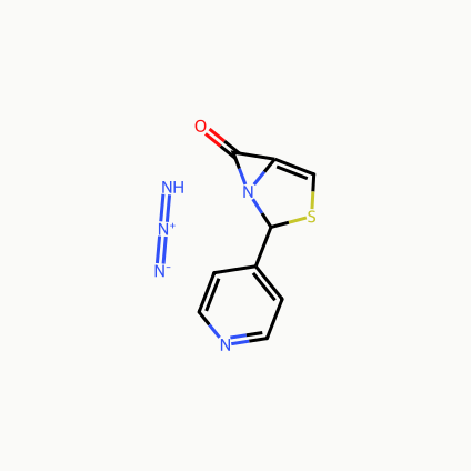 O=C1C2=CSC(c3ccncc3)N12.[N-]=[N+]=N